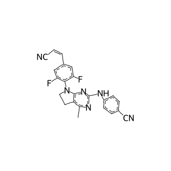 Cc1nc(Nc2ccc(C#N)cc2)nc2c1CCN2c1c(F)cc(/C=C\C#N)cc1F